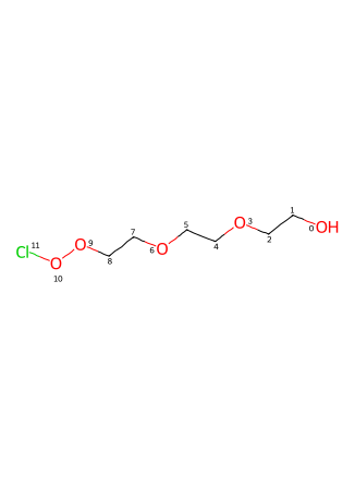 OCCOCCOCCOOCl